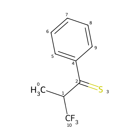 CC(C(=S)c1ccccc1)C(F)(F)F